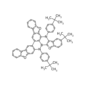 CC(C)(C)c1ccc(N2B3c4oc5ccc(C(C)(C)C)cc5c4N(c4ccc(C(C)(C)C)cc4)c4c3c(cc3c4oc4ccccc43)-c3cc4c(cc32)oc2ccccc24)cc1